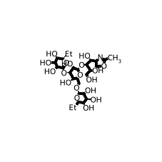 CCC1O[C@H](OCC2O[C@@H](O[C@@H]3C(CO)O[C@@H]4OC(C)=NC4[C@H]3O)C(O)[C@@H](O[C@H]3O[C@@H](CC)[C@@H](O)C(O)C3O)[C@@H]2O)C(O)[C@@H](O)[C@@H]1O